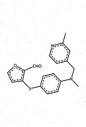 Cc1cc(CN(C)c2ccc(Sc3ccoc3C=O)cc2)ccn1